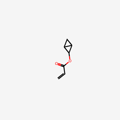 C=CC(=O)OC1C2CC21